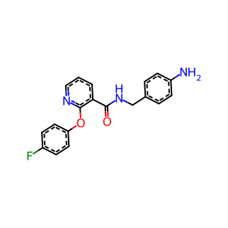 Nc1ccc(CNC(=O)c2cccnc2Oc2ccc(F)cc2)cc1